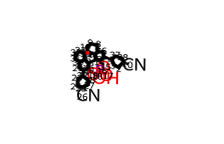 N#Cc1ccc(-c2cc3ccccc3c3c2OP(=O)(O)Oc2c(-c4ccc(C#N)cc4)cc4ccccc4c2-3)cc1